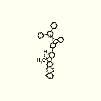 CC1(C)c2cc(-c3ccc4c(c3)c3ccccc3n4-c3cc(-c4ccccc4)cc(-c4ccccc4)n3)ccc2-c2cc3c(cc21)Sc1ccccc1S3